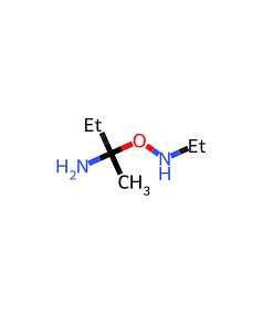 CCNOC(C)(N)CC